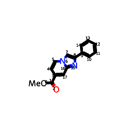 COC(=O)c1ccn2cc(-c3ccccc3)nc2c1